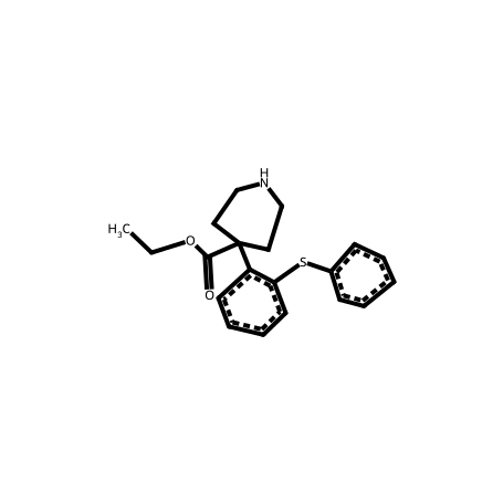 CCOC(=O)C1(c2ccccc2Sc2ccccc2)CCNCC1